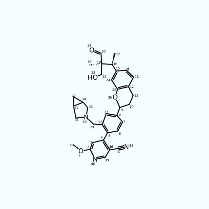 COc1cc(-c2ccc(C3CCc4ccc([C@H](C)[C@](C)(C=O)CO)cc4O3)cc2CN2CC3CC3C2)c(C#N)cn1